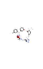 N#Cc1ccc2cc1Oc1cccc(c1)[C@@H](c1cccc(Cl)c1)N1CC[C@@H](NCc3cncn3C2)C1=O